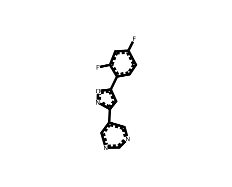 Fc1ccc(-c2cc(-c3cncnc3)no2)c(F)c1